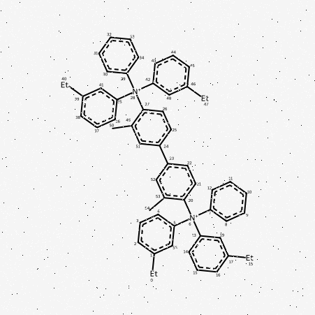 CCc1cccc([N+](c2ccccc2)(c2cccc(CC)c2)c2ccc(-c3ccc([N+](c4ccccc4)(c4cccc(CC)c4)c4cccc(CC)c4)c(C)c3)cc2C)c1